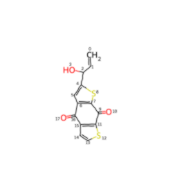 C=CC(O)c1cc2c(s1)C(=O)c1sccc1C2=O